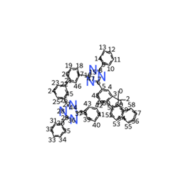 CC1(C)c2cc(-c3nc(-c4ccccc4)nc(-c4cccc(-c5cccc(-c6nc(-c7ccccc7)nc(-c7ccccc7)n6)c5)c4)n3)ccc2-c2ccc3ccccc3c21